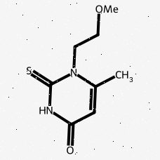 COCCn1c(C)cc(=O)[nH]c1=S